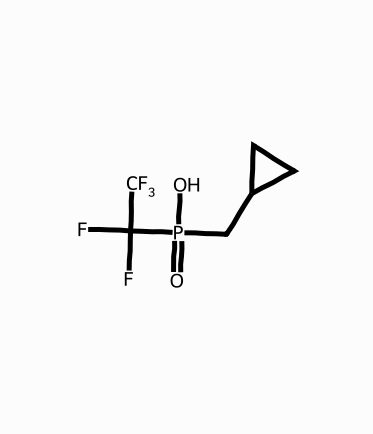 O=P(O)(CC1CC1)C(F)(F)C(F)(F)F